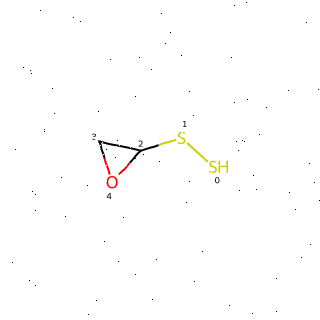 SSC1CO1